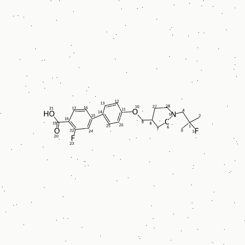 CC(C)(F)CN1CCC(COc2ccc(-c3ccc(C(=O)O)c(F)c3)cc2)CC1